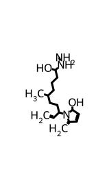 C=CC(CCC(C)CCCC(O)NN)N1C(=C)C=CC1O